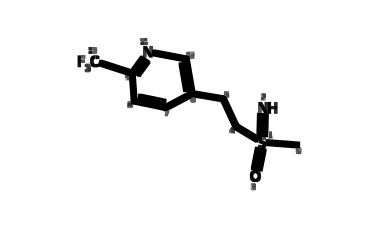 CS(=N)(=O)CCc1ccc(C(F)(F)F)nc1